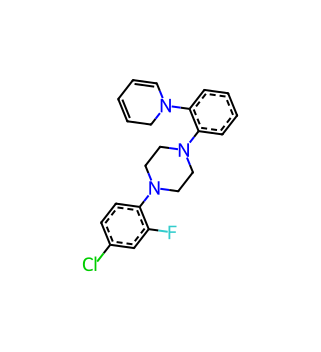 Fc1cc(Cl)ccc1N1CCN(c2ccccc2N2C=CC=CC2)CC1